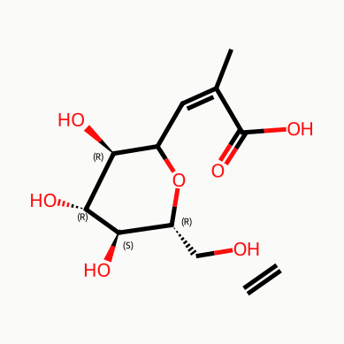 C=C.CC(=CC1O[C@H](CO)[C@@H](O)[C@H](O)[C@H]1O)C(=O)O